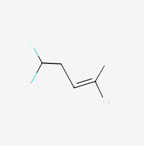 CCC(=CCC(F)F)C(F)(F)F